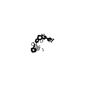 Cn1cc(-c2cnc3ccc4ccc(NC(=O)c5ccccc5C(F)(F)F)cc4c(=O)c3c2)cn1